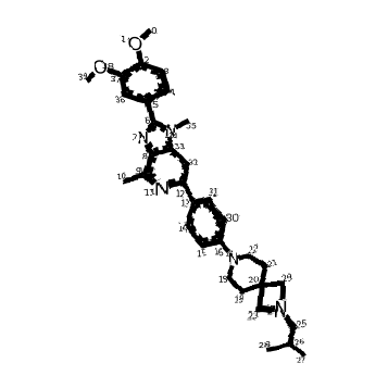 COc1ccc(-c2nc3c(C)nc(-c4ccc(N5CCC6(CC5)CN(CC(C)C)C6)cc4)cc3n2C)cc1OC